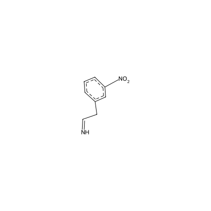 N=CCc1cccc([N+](=O)[O-])c1